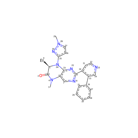 CC[C@@H]1C(=O)N(C)c2cnc(-c3ccncc3-c3ccccc3)nc2N1c1ccn(C)n1